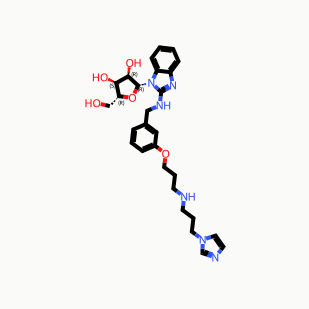 OC[C@H]1O[C@@H](n2c(NCc3cccc(OCCCNCCCn4ccnc4)c3)nc3ccccc32)[C@H](O)[C@@H]1O